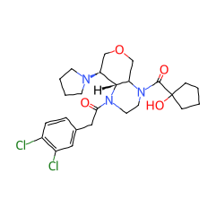 O=C(Cc1ccc(Cl)c(Cl)c1)N1CCN(C(=O)C2(O)CCCC2)C2COC[C@H](N3CCCC3)[C@H]21